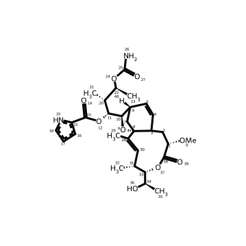 CO[C@H]1CC2C=C[C@@H]3C[C@]2(O[C@H]3[C@H](OC(=O)c2ccc[nH]2)[C@H](C)[C@H](C)OC(N)=O)/C(C)=C/[C@@H](C)[C@@H]([C@@H](C)O)OC1=O